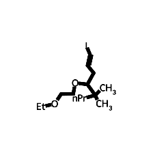 CCCC(C)(C)C(C/C=C/I)OCCOCC